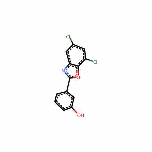 Oc1cccc(-c2nc3cc(Cl)cc(Cl)c3o2)c1